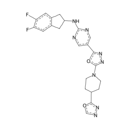 Fc1cc2c(cc1F)CC(Nc1ncc(-c3nnc(N4CCC(c5nnco5)CC4)o3)cn1)C2